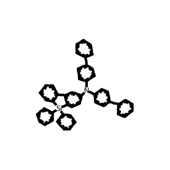 c1ccc(-c2ccc(N(c3ccc(-c4ccccc4)cc3)c3ccc4c(c3)-c3ccccc3[Si]4(c3ccccc3)c3ccccc3)cc2)cc1